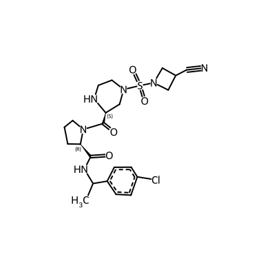 CC(NC(=O)[C@H]1CCCN1C(=O)[C@@H]1CN(S(=O)(=O)N2CC(C#N)C2)CCN1)c1ccc(Cl)cc1